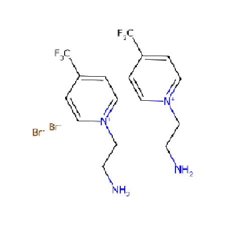 NCC[n+]1ccc(C(F)(F)F)cc1.NCC[n+]1ccc(C(F)(F)F)cc1.[Br-].[Br-]